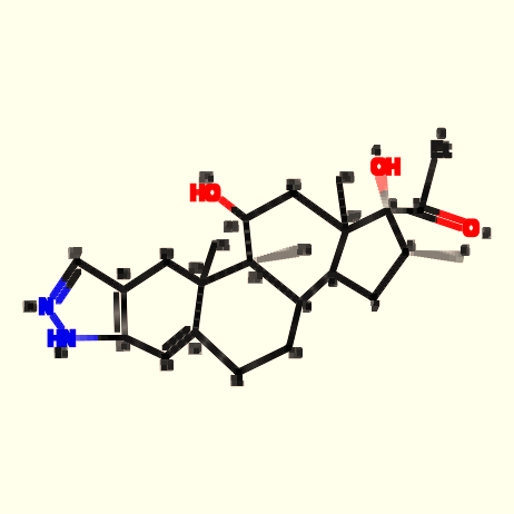 CCC(=O)[C@@]1(O)[C@H](C)CC2C3CCC4=Cc5[nH]ncc5CC4(C)[C@@]3(C)C(O)CC21C